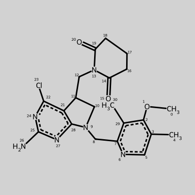 COc1c(C)cnc(CN2CC(CN3C(=O)CCCC3=O)c3c(Cl)nc(N)nc32)c1C